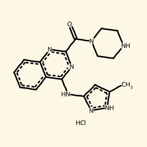 Cc1cc(Nc2nc(C(=O)N3CCNCC3)nc3ccccc23)n[nH]1.Cl